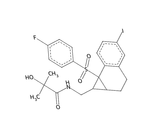 CC(C)(O)C(=O)NCC1C2CCc3cc(I)ccc3C21S(=O)(=O)c1ccc(F)cc1